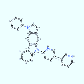 c1ccc(-n2ccc3cc4c(cc32)c2ccccc2n4-c2ccc(-c3cccnc3)cn2)cc1